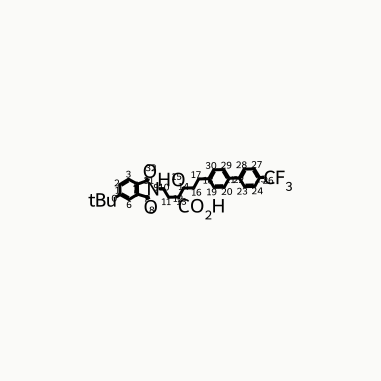 CC(C)(C)c1ccc2c(c1)C(=O)N(CC[C@@H](C(=O)O)C(O)CCc1ccc(-c3ccc(C(F)(F)F)cc3)cc1)C2=O